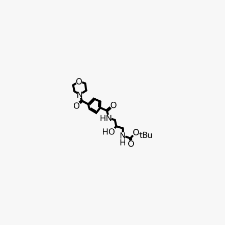 CC(C)(C)OC(=O)NCC(O)CNC(=O)c1ccc(C(=O)N2CCOCC2)cc1